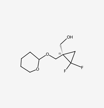 OC[C@]1(COC2CCCCO2)CC1(F)F